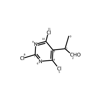 CC(C=O)c1c(Cl)nc(Cl)nc1Cl